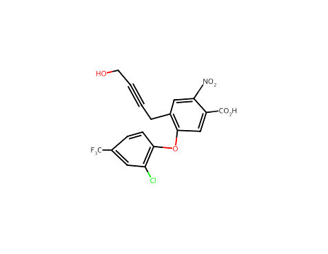 O=C(O)c1cc(Oc2ccc(C(F)(F)F)cc2Cl)c(CC#CCO)cc1[N+](=O)[O-]